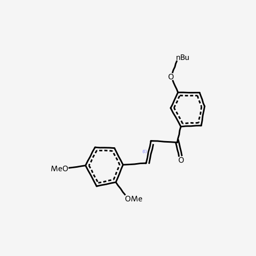 CCCCOc1cccc(C(=O)/C=C/c2ccc(OC)cc2OC)c1